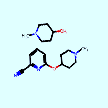 CN1CCC(O)CC1.CN1CCC(Oc2cccc(C#N)n2)CC1